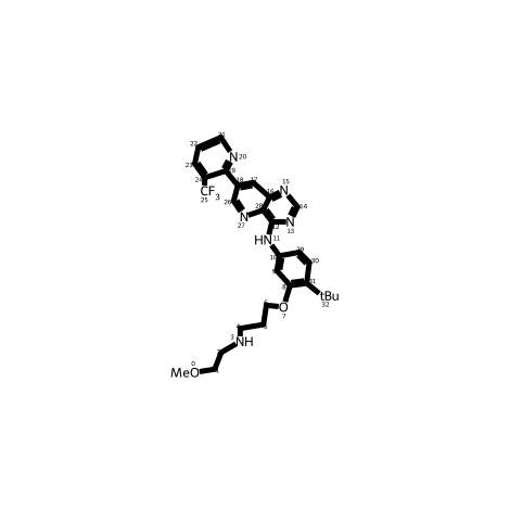 COCCNCCCOc1cc(Nc2ncnc3cc(-c4ncccc4C(F)(F)F)cnc23)ccc1C(C)(C)C